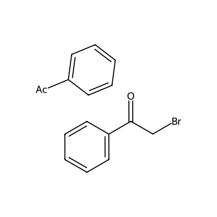 CC(=O)c1ccccc1.O=C(CBr)c1ccccc1